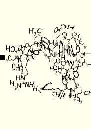 CC(C)C[C@H](NC(=O)[C@H](CC(=O)O)NC(=O)[C@H](CCC(=O)O)NC(=O)[C@@H](NC(=O)[C@@H](NC(=O)[C@@H](NC(=O)[C@H](CC(C)C)NC(=O)[C@@H](N)CC(C)C)C(C)C)[C@@H](C)O)C(C)C)C(=O)N[C@@H](CCCNC(=N)N)C(=O)N[C@H](C(=O)O)C(C)C